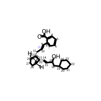 O=C(O)c1ccccc1/C=C/C[C@@H]1[C@H](C=CC(O)CC2CCCCC2)[C@@H]2CC[C@H]1O2